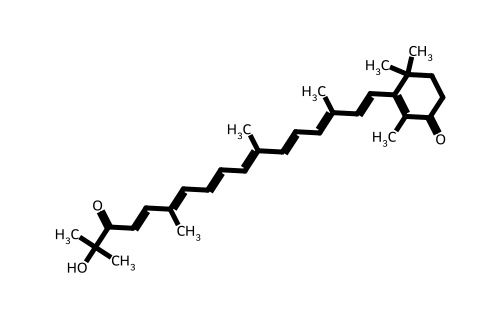 CC1=C(/C=C/C(C)=C/C=C/C(C)=C/C=C/C=C(C)/C=C/C(=O)C(C)(C)O)C(C)(C)CCC1=O